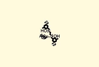 CC(=O)[O-].CC(=O)[O-].Cc1cc([Si](C)(C)C)cc(C=NCCN=Cc2cc([Si](C)(C)C)cc(C)c2O)c1O.[Co+2]